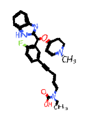 CCN(CCCC#Cc1ccc(F)c(C(OC2CCN(C)CC2)c2nc3ccccc3[nH]2)c1)C(=O)O